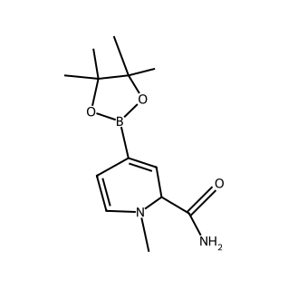 CN1C=CC(B2OC(C)(C)C(C)(C)O2)=CC1C(N)=O